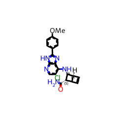 COc1ccc(-c2nc3c(N[C@@H]4[C@H]5C=CC5[C@@H]4C(N)=O)c(Cl)cnc3[nH]2)cc1